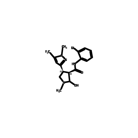 CCc1ccccc1NC(=O)[C@H]1C(O)N(C)C[C@@H]1c1cc(C(F)(F)F)n(C)n1